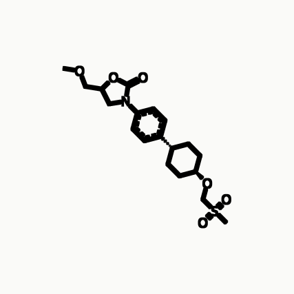 COCC1CN(c2ccc([C@H]3CC[C@H](OCS(C)(=O)=O)CC3)cc2)C(=O)O1